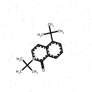 CC(C)(C)c1cccc2c(=O)n(C(C)(C)C)ccc12